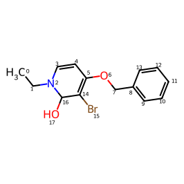 CCN1C=CC(OCc2ccccc2)=C(Br)C1O